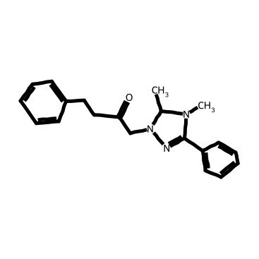 CC1N(CC(=O)CCc2ccccc2)N=C(c2ccccc2)N1C